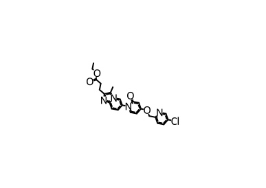 CCOC(=O)CCc1nc2ccc(-n3ccc(OCc4ccc(Cl)cn4)cc3=O)cn2c1C